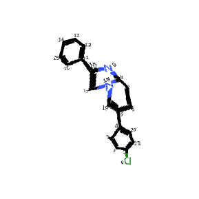 Clc1ccc(-c2ccc3nc(-c4ccccc4)cn3c2)cc1